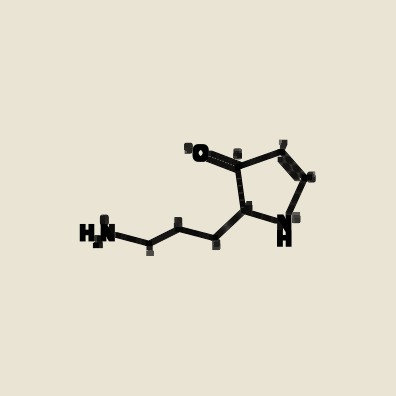 NCCCC1NC=CC1=O